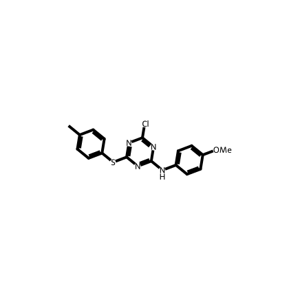 COc1ccc(Nc2nc(Cl)nc(Sc3ccc(C)cc3)n2)cc1